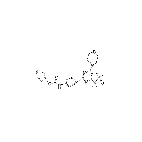 CS(=O)(=O)C1(c2cc(N3CCOCC3)nc(-c3ccc(NC(=O)Oc4ccccc4)cc3)n2)CC1